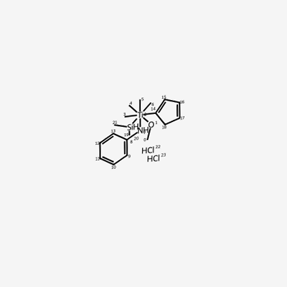 C[O][Ti]([CH3])([CH3])([CH3])([CH3])([NH]c1ccccc1)([C]1=CC=CC1)[SiH](C)C.Cl.Cl